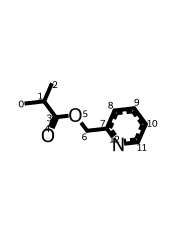 CC(C)C(=O)OCc1ccccn1